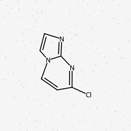 Clc1ccn2ccnc2n1